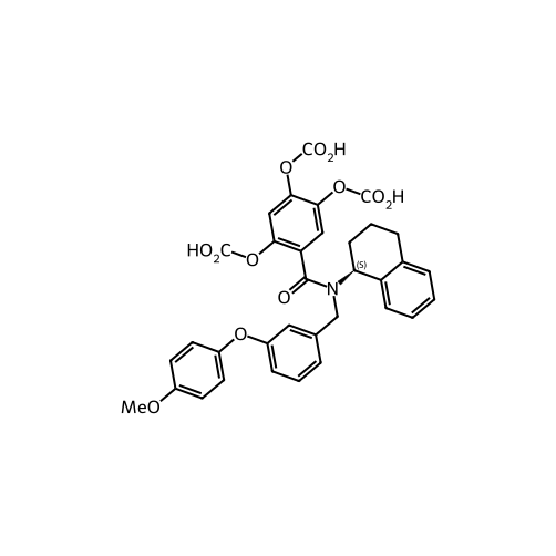 COc1ccc(Oc2cccc(CN(C(=O)c3cc(OC(=O)O)c(OC(=O)O)cc3OC(=O)O)[C@H]3CCCc4ccccc43)c2)cc1